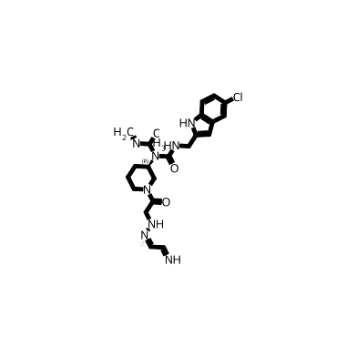 C=NC(C)N(C(=O)NCc1cc2cc(Cl)ccc2[nH]1)[C@@H]1CCCN(C(=O)CN/N=C\C=N)C1